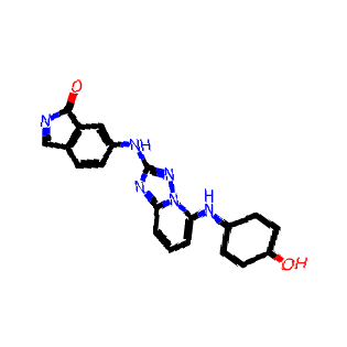 O=C1N=Cc2ccc(Nc3nc4cccc(NC5CCC(O)CC5)n4n3)cc21